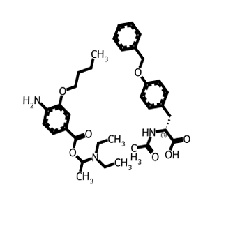 CC(=O)N[C@H](Cc1ccc(OCc2ccccc2)cc1)C(=O)O.CCCCOc1cc(C(=O)OC(C)N(CC)CC)ccc1N